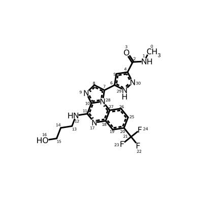 CNC(=O)c1cc(-c2cnc3c(NCCCO)nc4cc(C(F)(F)F)ccc4n23)[nH]n1